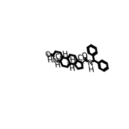 C[C@]12CCC(=O)N[C@@H]1CC[C@@H]1[C@@H]2CC[C@]2(C)[C@@H](C(=O)NC(c3ccccc3)c3ccccc3)CC[C@@H]12